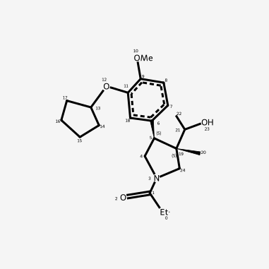 C[CH]C(=O)N1C[C@@H](c2ccc(OC)c(OC3CCCC3)c2)[C@](C)(C(C)O)C1